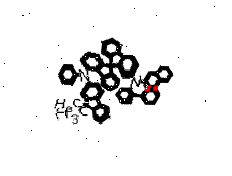 CC1(C)c2ccccc2-c2ccc(N(c3ccccc3)c3cccc4c3-c3ccccc3C43c4ccccc4-c4ccc(N(c5ccc6ccccc6c5)c5ccccc5-c5ccccc5)cc43)cc21